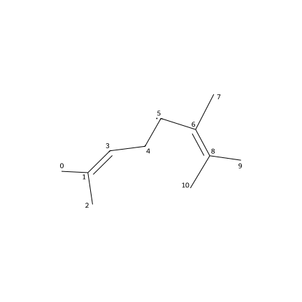 CC(C)=CC[CH]C(C)=C(C)C